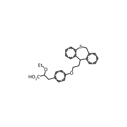 CCOC(Cc1ccc(OCCC2c3ccccc3CSc3ccccc32)cc1)C(=O)O